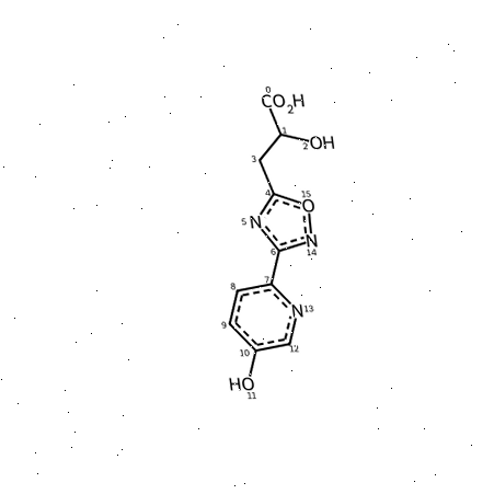 O=C(O)C(O)Cc1nc(-c2ccc(O)cn2)no1